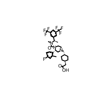 Cc1cc(F)ccc1[C@H]1CN(C[C@H]2CC[C@H](CC(=O)O)CC2)CCN1C(=O)N(C)[C@H](C)c1cc(C(F)(F)F)cc(C(F)(F)F)c1